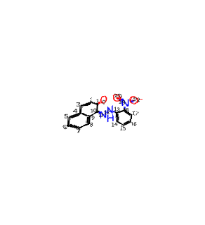 O=C1C=Cc2ccccc2C1=NNc1ccccc1[N+](=O)[O-]